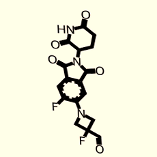 O=CC1(F)CN(c2cc3c(cc2F)C(=O)N(C2CCC(=O)NC2=O)C3=O)C1